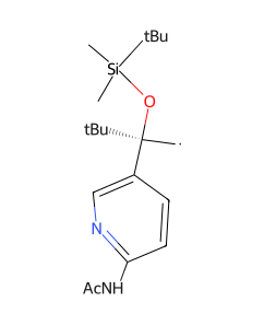 [CH2][C@](O[Si](C)(C)C(C)(C)C)(c1ccc(NC(C)=O)nc1)C(C)(C)C